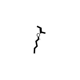 C/C=C(/C)O[CH]CCCC